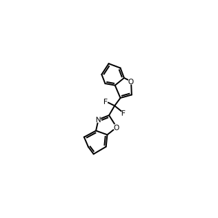 FC(F)(c1nc2ccccc2o1)c1coc2ccccc12